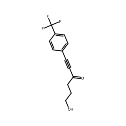 O=C(C#Cc1ccc(C(F)(F)F)cc1)CCCO